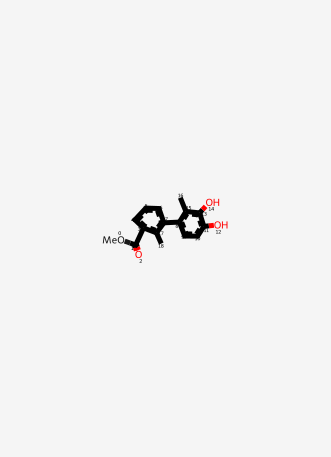 COC(=O)c1cccc(-c2ccc(O)c(O)c2C)c1C